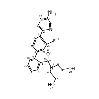 Nc1cnc(-c2ccc(-c3ccccc3[S+]([O-])N(CCO)CCO)cc2F)cn1